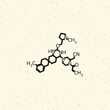 C=CC(=O)N1CCN(C2NC(OCC3CCCN3C)NC3CC4(CCc5c(C)cccc5C4)CCC32)CC1CC#N